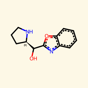 OC(c1nc2ccccc2o1)[C@H]1CCCN1